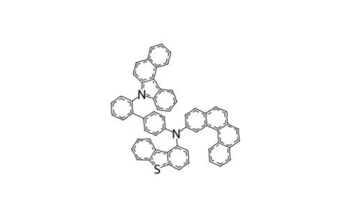 c1ccc(-n2c3ccccc3c3c4ccccc4ccc32)c(-c2ccc(N(c3ccc4ccc5ccc6ccccc6c5c4c3)c3cccc4sc5ccccc5c34)cc2)c1